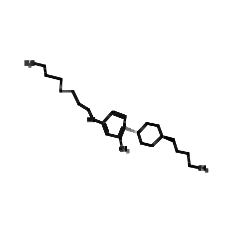 CCCCCCCCNc1ccc([C@H]2CC[C@H](CCCCC)CC2)c(C)c1